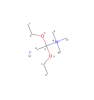 CCOC(C)(OCC)[N+](C)(C)C.[I-]